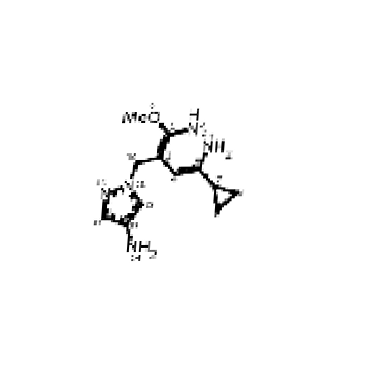 CO/C(N)=C(/C=C(\N)C1CC1)Cn1cc(N)cn1